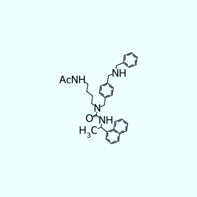 CC(=O)NCCCCN(Cc1ccc(CNCc2ccccc2)cc1)C(=O)NC(C)c1cccc2ccccc12